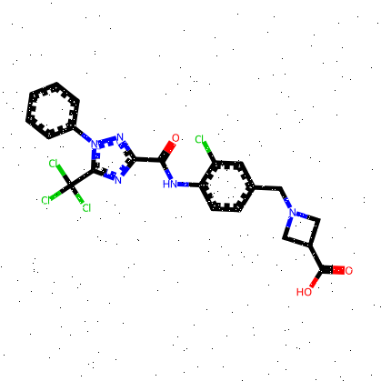 O=C(Nc1ccc(CN2CC(C(=O)O)C2)cc1Cl)c1nc(C(Cl)(Cl)Cl)n(-c2ccccc2)n1